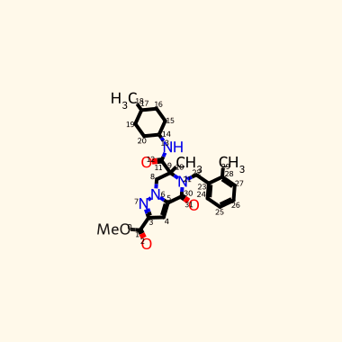 COC(=O)c1cc2n(n1)CC(C)(C(=O)NC1CCC(C)CC1)N(Cc1ccccc1C)C2=O